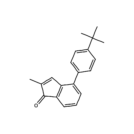 CC1=Cc2c(cccc2-c2ccc(C(C)(C)C)cc2)C1=O